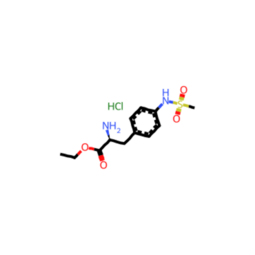 CCOC(=O)[C@@H](N)Cc1ccc(NS(C)(=O)=O)cc1.Cl